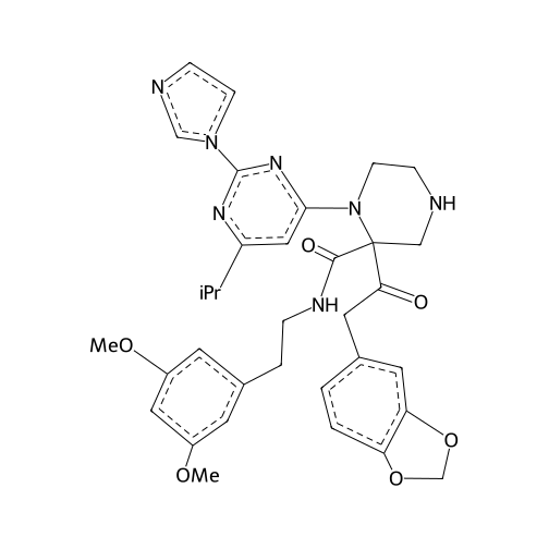 COc1cc(CCNC(=O)C2(C(=O)Cc3ccc4c(c3)OCO4)CNCCN2c2cc(C(C)C)nc(-n3ccnc3)n2)cc(OC)c1